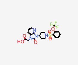 O=C(O)Cn1c(=O)n(C2CCN(S(=O)(=O)c3ccccc3OC(F)(F)F)CC2)c2ncccc21